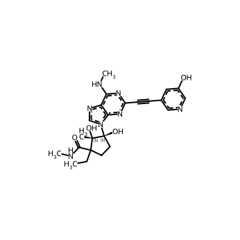 CCC1(C(=O)NC)CC[C@@](O)(n2cnc3c(NC)nc(C#Cc4cncc(O)c4)nc32)[C@@]1(C)O